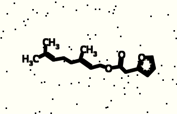 CC(C)=CCC/C(C)=C/COC(=O)Cc1ccco1